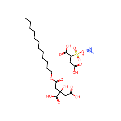 CCCCCCCCCCCCOC(=O)CC(O)(CC(=O)O)C(=O)O.N.N.O=C(O)CC(C(=O)O)S(=O)(=O)O